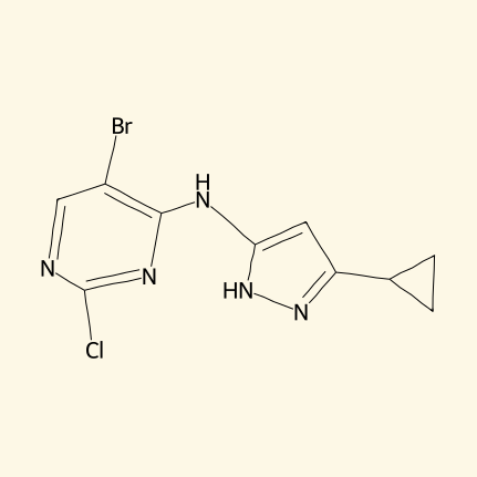 Clc1ncc(Br)c(Nc2cc(C3CC3)n[nH]2)n1